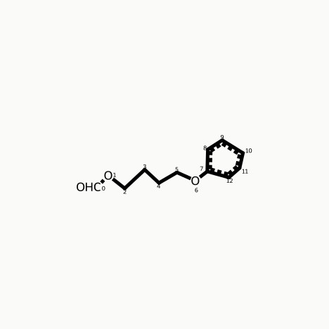 O=COCCCCOc1ccccc1